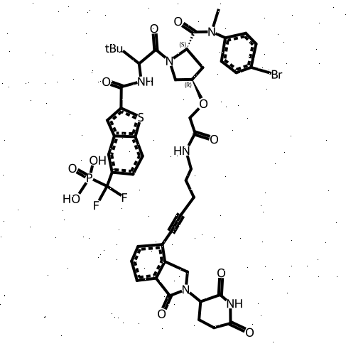 CN(C(=O)[C@@H]1C[C@@H](OCC(=O)NCCCC#Cc2cccc3c2CN(C2CCC(=O)NC2=O)C3=O)CN1C(=O)C(NC(=O)c1cc2cc(C(F)(F)P(=O)(O)O)ccc2s1)C(C)(C)C)c1ccc(Br)cc1